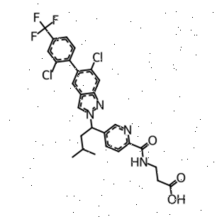 CC(C)CC(c1ccc(C(=O)NCCC(=O)O)nc1)n1cc2cc(-c3ccc(C(F)(F)F)cc3Cl)c(Cl)cc2n1